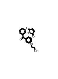 O=C(c1ccccc1)c1ccccc1.O=C1C=CC(=O)N1.OCCO